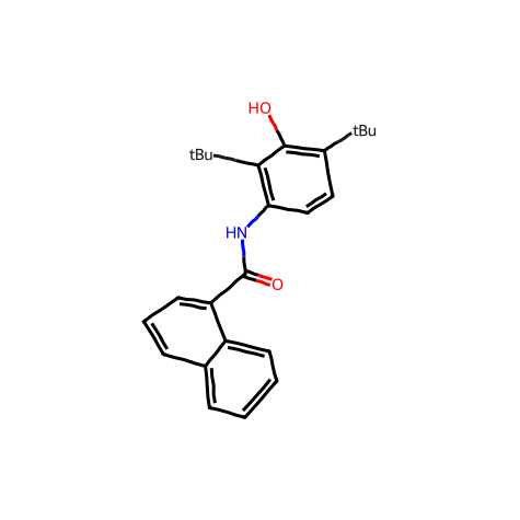 CC(C)(C)c1ccc(NC(=O)c2cccc3ccccc23)c(C(C)(C)C)c1O